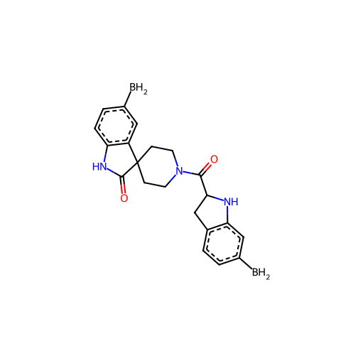 Bc1ccc2c(c1)NC(C(=O)N1CCC3(CC1)C(=O)Nc1ccc(B)cc13)C2